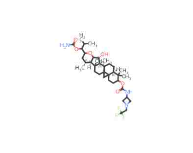 CC(C)C(OC(N)=O)C1C[C@@H](C)[C@H]2C(O1)[C@H](O)[C@@]1(C)C3CC[C@H]4C(C)(C)C(OC(=O)NC5CN(CC(F)(F)F)C5)CCC45CC35CCC21C